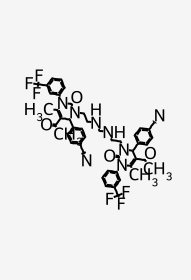 CC(=O)C1=C(C)N(c2cccc(C(F)(F)F)c2)C(=O)N(CCNCNCCN2C(=O)N(c3cccc(C(F)(F)F)c3)C(C)=C(C(C)=O)C2c2ccc(C#N)cc2)C1c1ccc(C#N)cc1